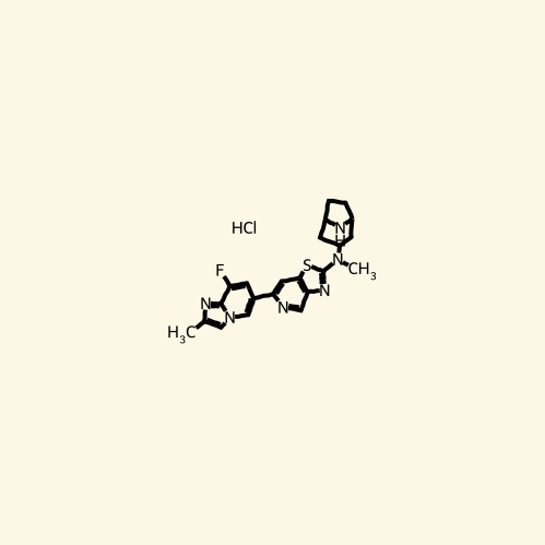 Cc1cn2cc(-c3cc4sc(N(C)C5CC6CCC(C5)N6)nc4cn3)cc(F)c2n1.Cl